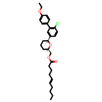 CCCCC=CCCCC(=O)OC[C@H]1CCC[C@@H](c2ccc(Cl)c(-c3ccc(OCC)cc3)c2)O1